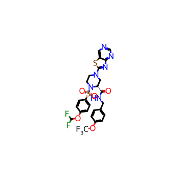 O=C(NCc1ccc(OC(F)(F)F)cc1)[C@H]1CN(c2nc3ncncc3s2)CCN1S(=O)(=O)c1ccc(OC(F)F)cc1